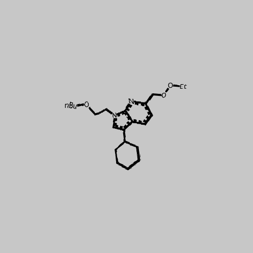 CCCCOCCn1cc(C2CCCCC2)c2ccc(COOCC)nc21